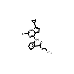 CCOC(=O)C1CC2CCC1(Nc1nc(Cl)nn3c(C4CC4)ccc13)CC2